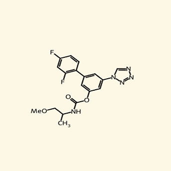 COCC(C)NC(=O)Oc1cc(-c2ccc(F)cc2F)cc(-n2cnnn2)c1